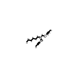 CC#COCN(CCCCCC)OC#CC